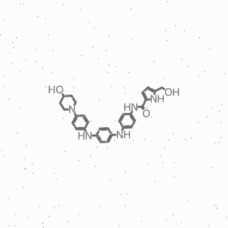 O=C(Nc1ccc(Nc2ccc(Nc3ccc(N4CCC(O)CC4)cc3)cc2)cc1)c1ccc(CO)[nH]1